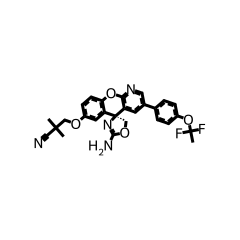 CC(C)(C#N)COc1ccc2c(c1)[C@@]1(COC(N)=N1)c1cc(-c3ccc(OC(C)(F)F)cc3)cnc1O2